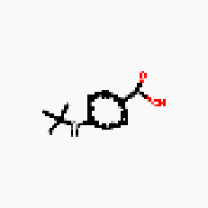 CC(C)(C)Bc1ccc(B(O)O)cc1